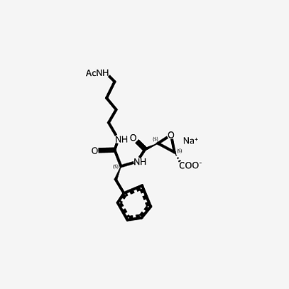 CC(=O)NCCCCNC(=O)[C@H](Cc1ccccc1)NC(=O)[C@H]1O[C@@H]1C(=O)[O-].[Na+]